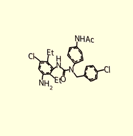 CCc1c(N)cc(Cl)c(CC)c1NC(=O)N(Cc1ccc(Cl)cc1)c1ccc(NC(C)=O)cc1